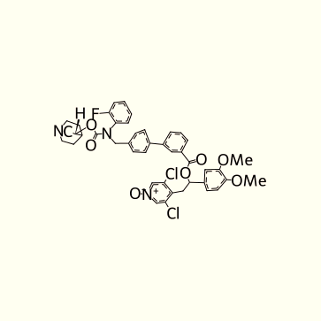 COc1ccc(C(Cc2c(Cl)c[n+]([O-])cc2Cl)OC(=O)c2cccc(-c3ccc(CN(C(=O)O[C@H]4CN5CCC4CC5)c4ccccc4F)cc3)c2)cc1OC